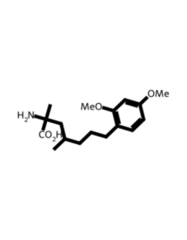 COc1ccc(CCCC(C)CC(C)(N)C(=O)O)c(OC)c1